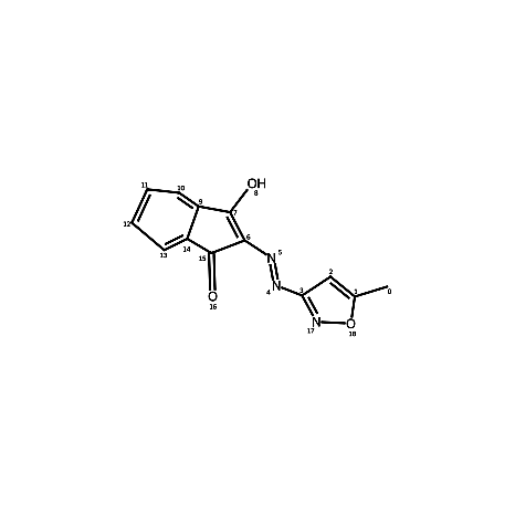 Cc1cc(N=NC2=C(O)c3ccccc3C2=O)no1